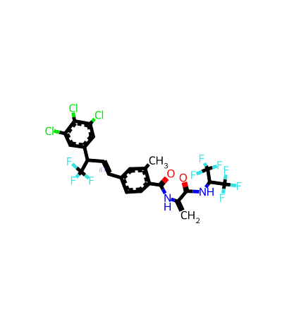 C=C(NC(=O)c1ccc(/C=C/C(c2cc(Cl)c(Cl)c(Cl)c2)C(F)(F)F)cc1C)C(=O)NC(C(F)(F)F)C(F)(F)F